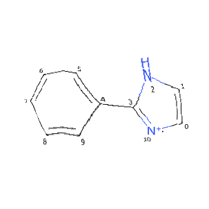 C1=CNC(c2ccccc2)=[N+]1